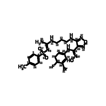 Cc1ccc(S(=O)(=O)/N=C(\N)NCCCNc2nonc2/C(=N/O)NC2=CCC(F)C(Br)=C2)cc1